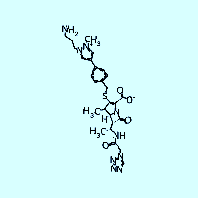 C[C@@H](NC(=O)Cn1cnnn1)[C@H]1C(=O)N2C(C(=O)[O-])=C(SCc3ccc(-c4cn(CCCN)[n+](C)c4)cc3)[C@H](C)[C@H]12